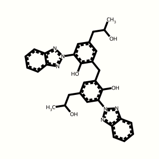 CC(O)Cc1cc(Cc2cc(CC(C)O)cc(-n3nc4ccccc4n3)c2O)c(O)c(-n2nc3ccccc3n2)c1